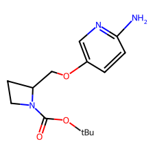 CC(C)(C)OC(=O)N1CCC1COc1ccc(N)nc1